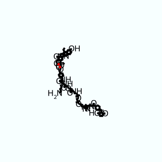 CCc1c2c(nc3ccc(O)cc13)-c1cc3c(c(=O)n1C2)COC(=O)[C@@]3(CC)OC(=O)OCc1ccc(NC(=O)[C@H](CCCCN)NC(=O)COCC(=O)NCCC(C)(C)OCC(C)(C)OCCn2cc(CNC(=O)C3CCC(CN4C(=O)C=CC4=O)CC3)nn2)cc1